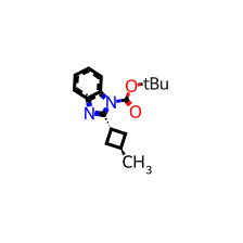 CC(C)(C)OC(=O)n1c2ccccc2nc1[C@H]1C[C@H](C)C1